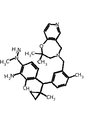 Cc1ccc(C(c2ccc(N(C)N)c(N)c2C)C2(C)CC2)cc1CN1Cc2cnccc2OC(C)(C)C1